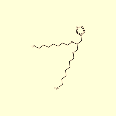 CCCCCCCCOCC(Cn1ccnc1)OCCCCCCCC